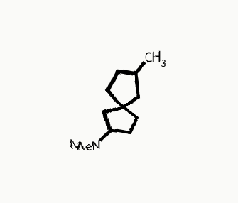 CNC1CCC2(CCC(C)C2)C1